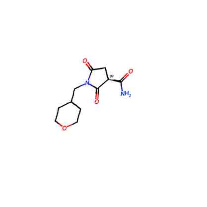 NC(=O)[C@@H]1CC(=O)N(CC2CCOCC2)C1=O